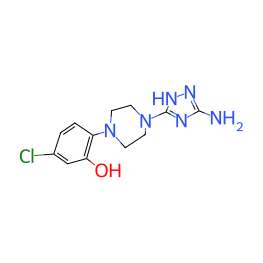 Nc1n[nH]c(N2CCN(c3ccc(Cl)cc3O)CC2)n1